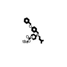 CC(C)=CCN(Cc1ccc(OCc2ccccc2)cc1)C1CCN(C(=O)OC(C)(C)C)CC1